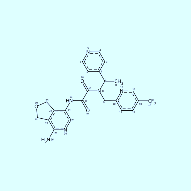 CC(c1ccncc1)N(Cc1ccc(C(F)(F)F)cn1)C(=O)C(=O)Nc1cnc(N)c2c1COC2